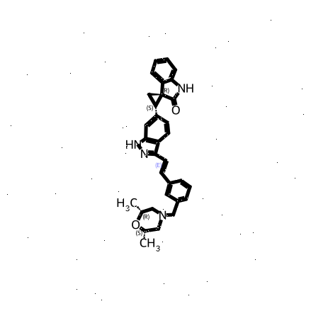 C[C@@H]1CN(Cc2cccc(/C=C/c3n[nH]c4cc([C@@H]5C[C@@]56C(=O)Nc5ccccc56)ccc34)c2)C[C@H](C)O1